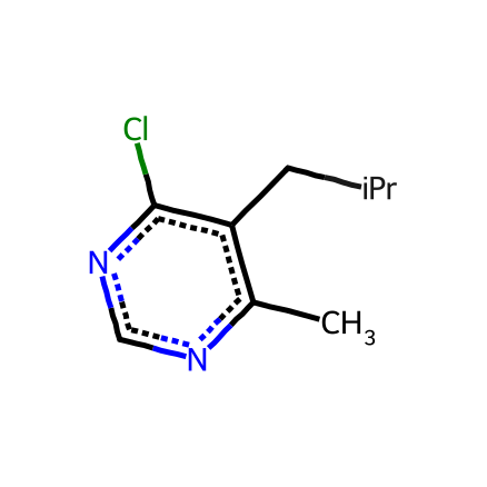 Cc1ncnc(Cl)c1CC(C)C